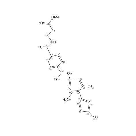 COC(=O)CCNC(=O)c1ccc(C(Oc2cc(C)c(-c3ccc(C(C)(C)C)cc3)c(C)c2)C(C)C)cc1